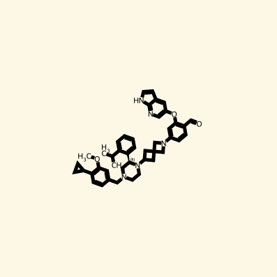 COc1cc(CN2CCN(C3CC4(C3)CN(c3ccc(C=O)c(Oc5cnc6[nH]ccc6c5)c3)C4)[C@H](c3ccccc3C(C)C)C2)ccc1C1CC1